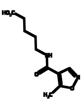 Cc1oncc1C(=O)NCCCCC(=O)O